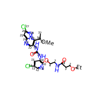 CCOCCC(=O)NCCOc1ncc(Cl)cc1NC(=O)Nc1cnc2cc(Cl)nn2c1[C@H](C)OC